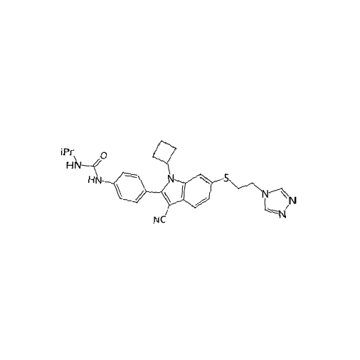 CC(C)NC(=O)Nc1ccc(-c2c(C#N)c3ccc(SCCn4cnnc4)cc3n2C2CCC2)cc1